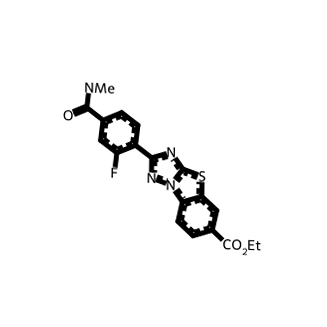 CCOC(=O)c1ccc2c(c1)sc1nc(-c3ccc(C(=O)NC)cc3F)nn12